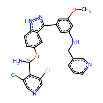 COc1cc(NCc2cccnc2)cc(-c2n[nH]c3ccc(O[C@H](N)c4c(Cl)cncc4Cl)cc23)c1